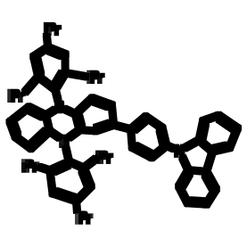 CC(C)c1cc(C(C)C)c(B2c3ccccc3B(c3c(C(C)C)cc(C(C)C)cc3C(C)C)c3cc(-c4ccc(-n5c6ccccc6c6ccccc65)cc4)ccc32)c(C(C)C)c1